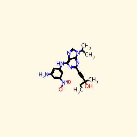 CCC(C)(O)C#Cc1nc(Nc2cc(N)cc([N+](=O)[O-])c2)c2ncn(C(C)C)c2n1